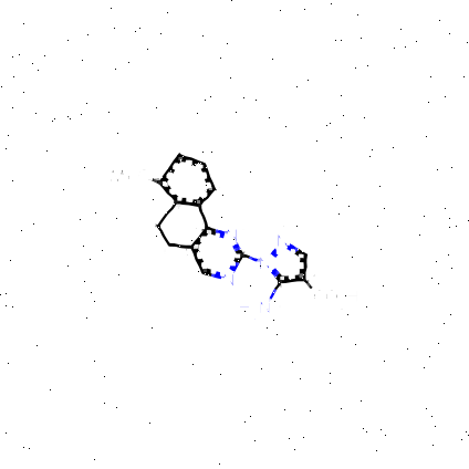 COc1cccc2c1CCc1cnc(-n3ncc(C(=O)O)c3N)nc1-2